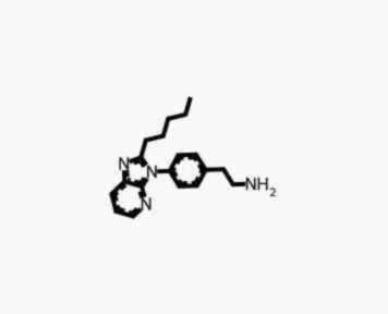 CCCCCc1nc2cccnc2n1-c1ccc(CCN)cc1